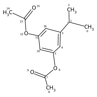 C[C](C)c1cc(OC(C)=O)cc(OC(C)=O)c1